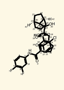 O=C(Nc1ccc(F)c(F)c1)c1ccc(Cl)c(S(=O)(=O)[C@@H]2C[C@H]3CC[C@@H](C2)[C@@]3(O)C(O)C(O)CN2CCOC2=O)c1